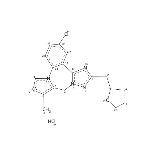 Cc1ncn2c1Cn1nc(CC3CCCO3)nc1-c1cc(Cl)ccc1-2.Cl